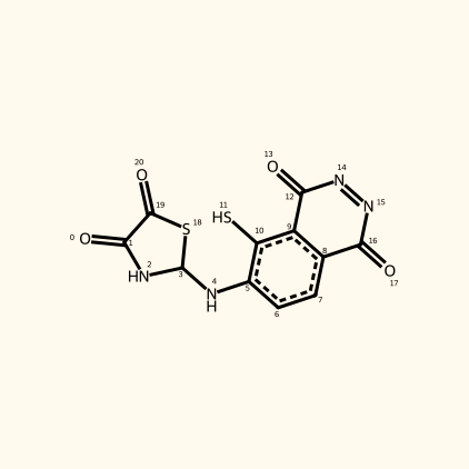 O=C1NC(Nc2ccc3c(c2S)C(=O)N=NC3=O)SC1=O